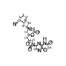 N#Cc1cccc2c1CC(NCC(CC1CN(c3cnc4c(n3)NC(=O)CO4)C(=O)O1)OC=O)C2